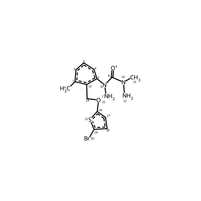 Cc1cccc(N(N)C(=O)N(C)N)c1COc1ccc(Br)s1